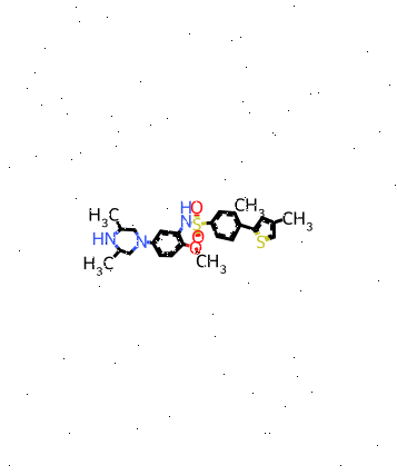 COc1ccc(N2CC(C)NC(C)C2)cc1NS(=O)(=O)c1ccc(-c2cc(C)cs2)c(C)c1